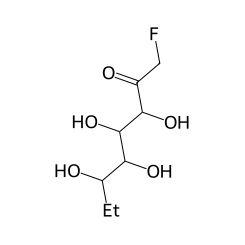 CCC(O)C(O)C(O)C(O)C(=O)CF